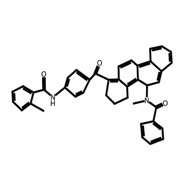 Cc1ccccc1C(=O)Nc1ccc(C(=O)C2=c3ccc4c(c3CCC2)C(N(C)C(=O)c2ccccc2)C=c2ccccc2=4)cc1